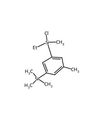 CC[Si](C)(Cl)c1cc(C)cc([Si](C)(C)C)c1